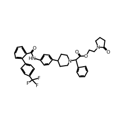 O=C(Nc1ccc(C2CCN(C(C(=O)OCCN3CCCC3=O)c3ccccc3)CC2)cc1)c1ccccc1-c1ccc(C(F)(F)F)cc1